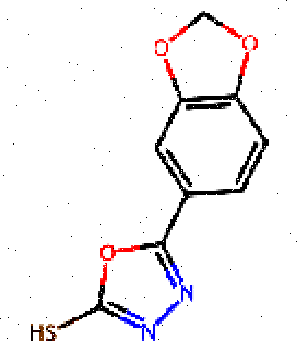 Sc1nnc(-c2ccc3c(c2)OCO3)o1